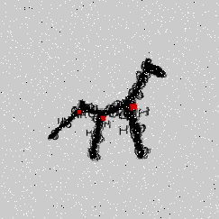 C=CC(=O)OCCCCCOC(=O)NCCCCNC(=O)OCC(CC)(CC)CCOC(=O)OCCC(CC)(CCOC(=O)OCCC(CC)(CCOC(=O)OCCOC(=O)OCOC(=O)c1cc2ccccc2cc1C(=O)OC)COC(=O)NCCCCNC(=O)OCCCCCOC(=O)C=C)COC(=O)NCCCCNC(=O)OCCCCCOC(=O)C=C